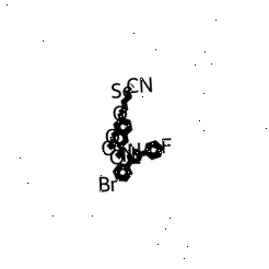 N#C[Se]CCCOc1ccc2c(c1)OC(=O)C(C(=O)N1N=C(c3ccc(F)cc3)CC1c1ccc(Br)cc1)C2